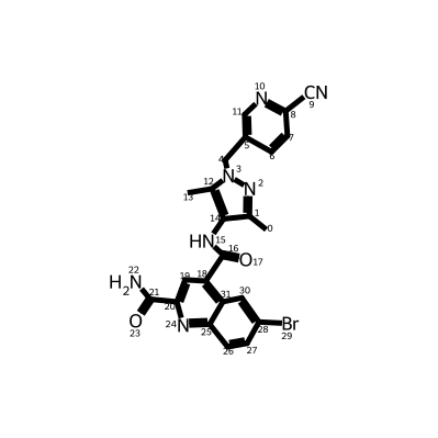 Cc1nn(Cc2ccc(C#N)nc2)c(C)c1NC(=O)c1cc(C(N)=O)nc2ccc(Br)cc12